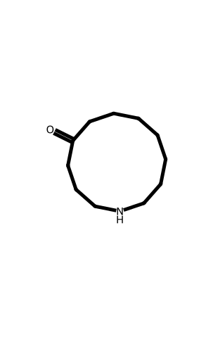 O=C1CCCCCCCNCCC1